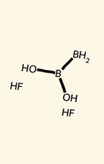 BB(O)O.F.F